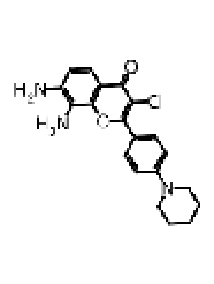 Nc1ccc2c(=O)c(Cl)c(-c3ccc(N4CCCCC4)cc3)oc2c1N